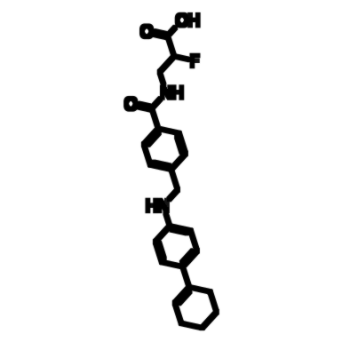 O=C(NCC(F)C(=O)O)c1ccc(CNc2ccc(C3=CCCCC3)cc2)cc1